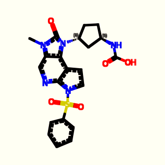 Cn1c(=O)n([C@@H]2CC[C@@H](NC(=O)O)C2)c2c3ccn(S(=O)(=O)c4ccccc4)c3ncc21